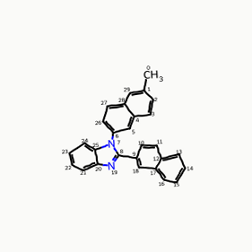 Cc1ccc2cc(-n3c(-c4ccc5ccccc5c4)nc4ccccc43)ccc2c1